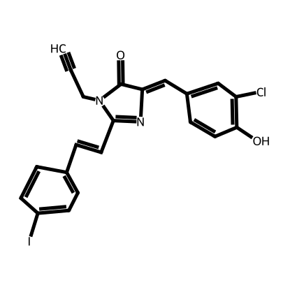 C#CCN1C(=O)/C(=C/c2ccc(O)c(Cl)c2)N=C1/C=C/c1ccc(I)cc1